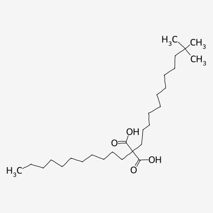 CCCCCCCCCCCC(CCCCCCCCCCC(C)(C)C)(C(=O)O)C(=O)O